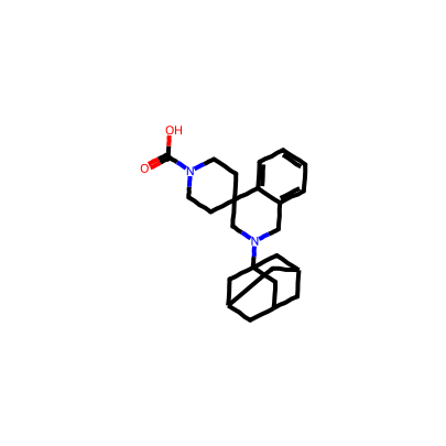 O=C(O)N1CCC2(CC1)CN(C13CC4CC(CC(C4)C1)C3)Cc1ccccc12